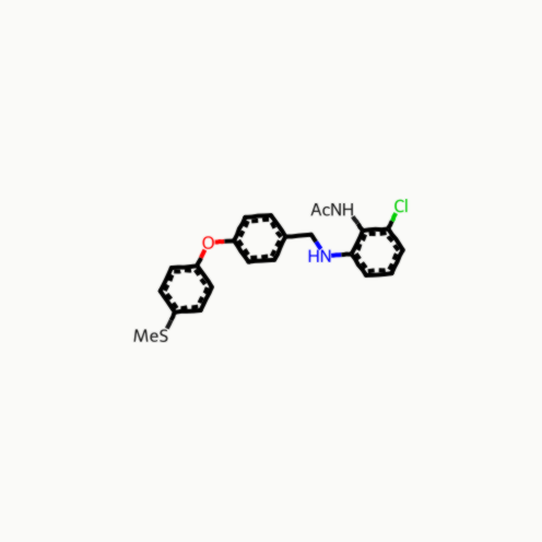 CSc1ccc(Oc2ccc(CNc3cccc(Cl)c3NC(C)=O)cc2)cc1